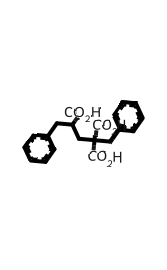 O=C(O)C(Cc1ccccc1)CC(Cc1ccccc1)(C(=O)O)C(=O)O